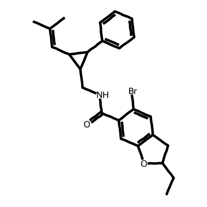 CCC1Cc2cc(Br)c(C(=O)NCC3C(C=C(C)C)C3c3ccccc3)cc2O1